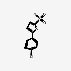 O=S(=O)(Cl)c1ccc(-c2ccc(Cl)cc2)s1